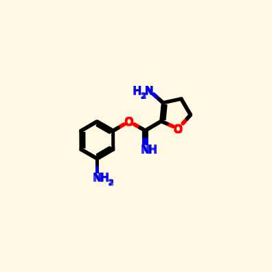 N=C(Oc1cccc(N)c1)C1=C(N)CCO1